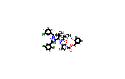 CC(C)C(=O)N(C[C@@H]1CN(C(=O)OCc2ccccc2)C[C@@H]1F)[C@@H](c1nc(-c2cc(F)ccc2F)nn1Cc1cccc(F)c1)C(C)(C)C